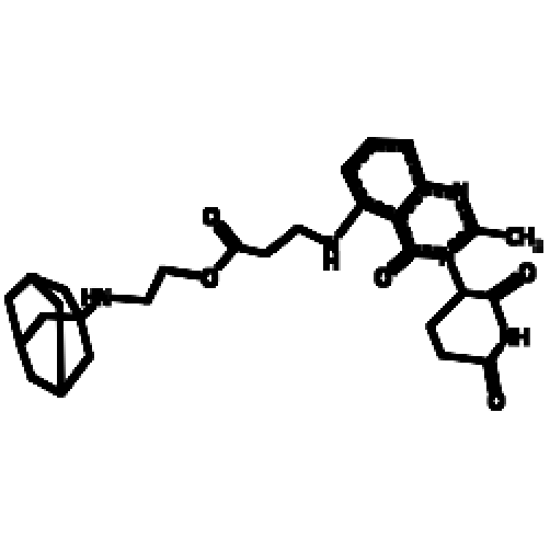 Cc1nc2cccc(NCCC(=O)OCCNC34CC5CC(CC(C5)C3)C4)c2c(=O)n1C1CCC(=O)NC1=O